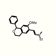 CCN(C)/C=C/c1cc2c(cc1OC)C(c1ccccc1)OCC2